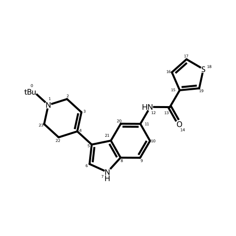 CC(C)(C)N1CC=C(c2c[nH]c3ccc(NC(=O)c4ccsc4)cc23)CC1